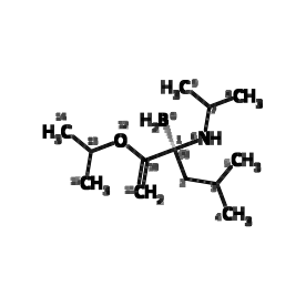 B[C@@](CC(C)C)(NC(C)C)C(=C)OC(C)C